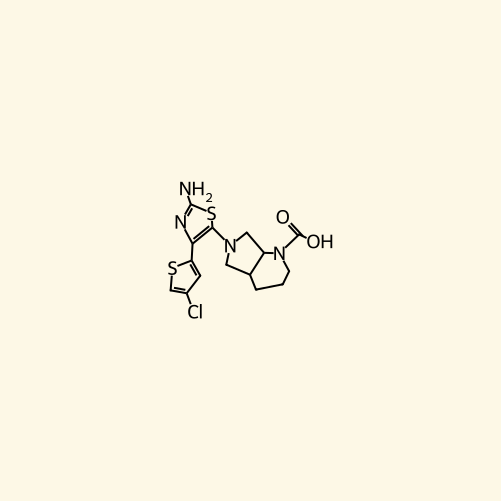 Nc1nc(-c2cc(Cl)cs2)c(N2CC3CCCN(C(=O)O)C3C2)s1